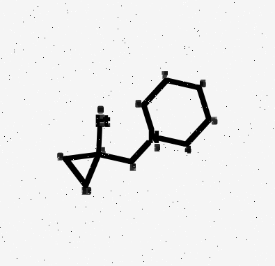 CCC1(CN2CCCCC2)CC1